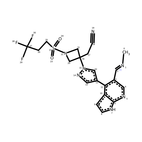 C/N=C/c1cnc2[nH]ccc2c1-c1cnn(C2(CC#N)CN(S(=O)(=O)CCC(F)(F)F)C2)c1